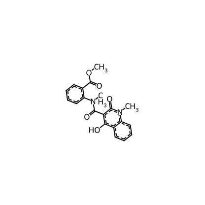 COC(=O)c1ccccc1N(C)C(=O)c1c(O)c2ccccc2n(C)c1=O